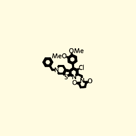 COc1ccc(-c2c(Cl)c(CN3C(=O)CCC3=O)nc3sc4c(c23)CCN(Cc2ccccc2)C4)cc1OC